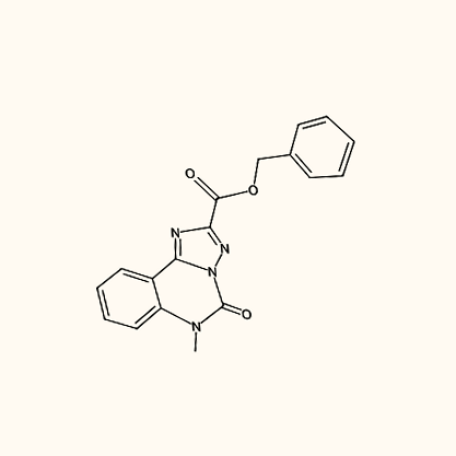 Cn1c(=O)n2nc(C(=O)OCc3ccccc3)nc2c2ccccc21